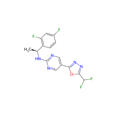 C[C@H](Nc1ncc(-c2nnc(C(F)F)o2)cn1)c1ccc(F)cc1F